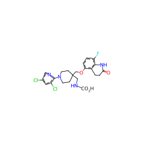 O=C(O)NCC1(COc2ccc(F)c3c2CCC(=O)N3)CCN(c2ncc(Cl)cc2Cl)CC1